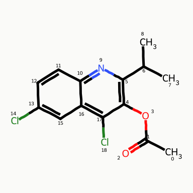 CC(=O)Oc1c(C(C)C)nc2ccc(Cl)cc2c1Cl